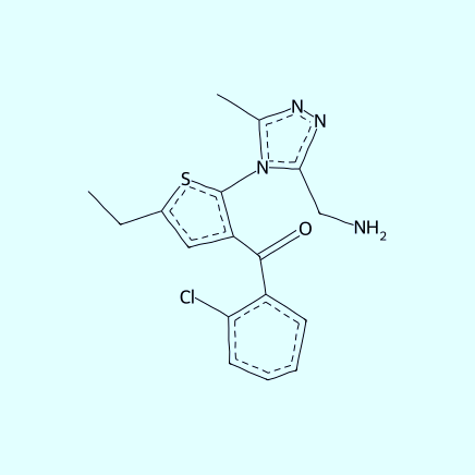 CCc1cc(C(=O)c2ccccc2Cl)c(-n2c(C)nnc2CN)s1